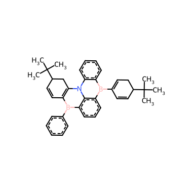 CC(C)(C)C1C=CC(B2c3ccccc3N3C4=C(C=CC(C(C)(C)C)C4)B(c4ccccc4)c4cccc2c43)=CC1